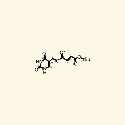 CC(C)(C)OC(=O)/C=C/C(=O)OCc1c[nH]c(=O)[nH]c1=O